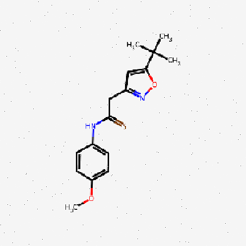 COc1ccc(NC(=S)Cc2cc(C(C)(C)C)on2)cc1